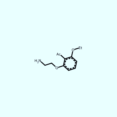 CCOc1cccc(OCCN)c1C(C)=O